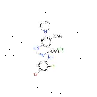 COc1cc2c(cc1N1CCCCC1)NC=NC2(Nc1ccc(Br)cc1F)OC.Cl